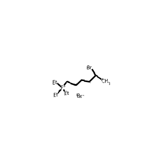 CC[P+](CC)(CC)CCCCC(C)Br.[Br-]